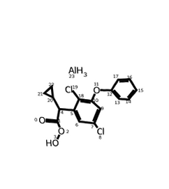 O=C(OO)C(c1cc(Cl)cc(Oc2ccccc2)c1Cl)C1CC1.[AlH3]